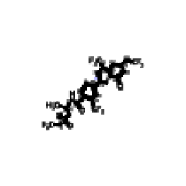 C[C@H](CS(=O)(=O)CC(F)(F)F)NC(=O)c1ccc(/C(F)=C/C(c2cc(Cl)cc(CC(F)(F)F)c2)C(F)(F)F)cc1C(F)(F)F